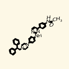 CC(=O)Nc1ccc(-c2ccnc(Nc3ccc(N4CCN(CC(c5ccccc5)c5ccccc5)CC4)cc3)n2)cc1